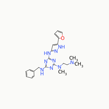 CN(C)CCN(C)c1nc(NCc2ccccc2)nc(Nc2cc(-c3ccco3)[nH]n2)n1